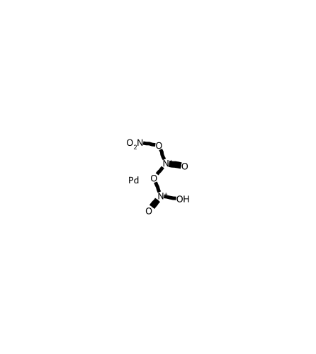 O=[N+]([O-])O[N+](=O)O[N+](=O)O.[Pd]